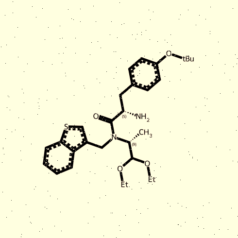 CCOC(OCC)[C@@H](C)N(Cc1csc2ccccc12)C(=O)[C@@H](N)Cc1ccc(OC(C)(C)C)cc1